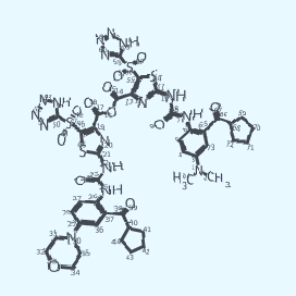 CN(C)c1ccc(NC(=O)Nc2nc(C(=O)OC(=O)c3nc(NC(=O)Nc4ccc(N5CCOCC5)cc4C(=O)C4CCCC4)sc3S(=O)(=O)c3nnn[nH]3)c(S(=O)(=O)c3nnn[nH]3)s2)c(C(=O)C2CCCC2)c1